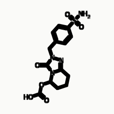 NS(=O)(=O)c1ccc(Cn2nc3n(c2=O)C(OC(=O)O)CCC3)cc1